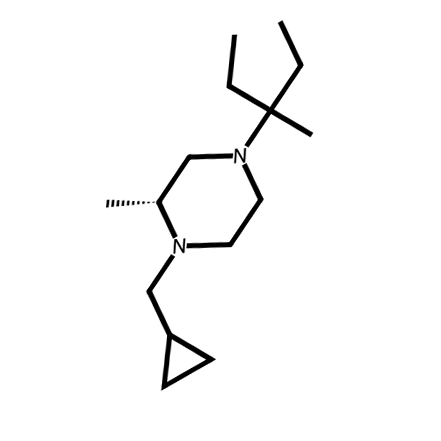 CCC(C)(CC)N1CCN(CC2CC2)[C@H](C)C1